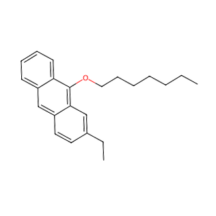 CCCCCCCOc1c2ccccc2cc2ccc(CC)cc12